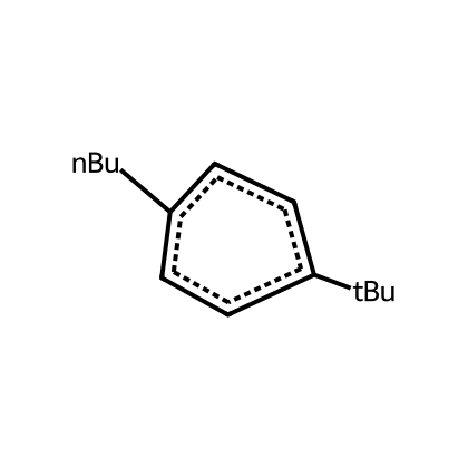 [CH2]CCCc1ccc(C(C)(C)C)cc1